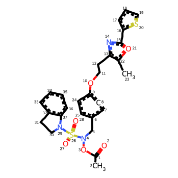 CC(=O)ON(Cc1ccc(OCCc2nc(-c3cccs3)oc2C)cc1)S(=O)(=O)N1CCc2ccccc21